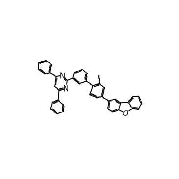 Cc1cc(-c2ccc3oc4ccccc4c3c2)ccc1-c1cccc(-c2nc(-c3ccccc3)cc(-c3ccccc3)n2)c1